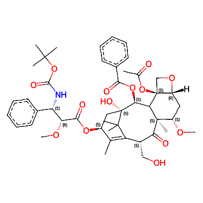 CO[C@H]1C[C@H]2OC[C@@]2(OC(C)=O)C2[C@H](OC(=O)c3ccccc3)[C@]3(O)C[C@H](OC(=O)[C@H](OC)[C@@H](NC(=O)OC(C)(C)C)c4ccccc4)C(C)=C([C@@H](CO)C(=O)[C@@]21C)C3(C)C